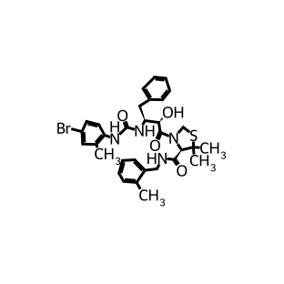 Cc1ccccc1CNC(=O)[C@H]1N(C(=O)[C@@H](O)[C@H](Cc2ccccc2)NC(=O)Nc2ccc(Br)cc2C)CSC1(C)C